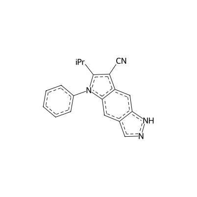 CC(C)c1c(C#N)c2cc3[nH]ncc3cc2n1-c1ccccc1